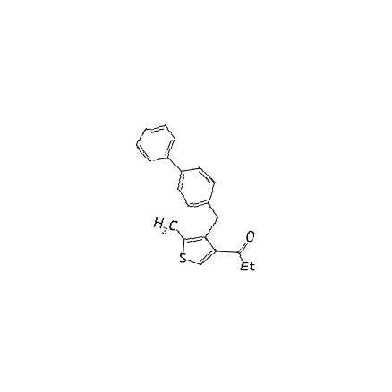 CCC(=O)c1csc(C)c1Cc1ccc(-c2ccccc2)cc1